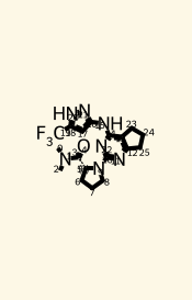 CN(C)C(=O)[C@H]1CCCN1c1nc2c(c(Nc3cc(C(F)(F)F)[nH]n3)n1)CCC2